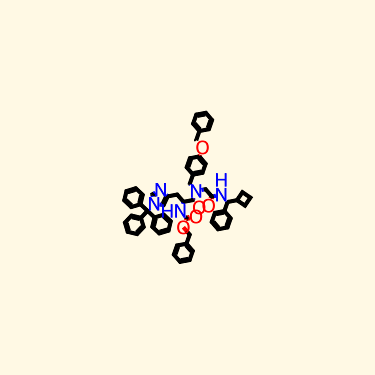 O=C(CN(Cc1ccc(OCc2ccccc2)cc1)C(=O)C(Cc1cn(C(c2ccccc2)(c2ccccc2)c2ccccc2)cn1)NC(=O)OCc1ccccc1)NC(c1ccccc1)C1CCC1